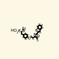 CCO[C@@H](Cc1ccc(OCCc2nc(-c3cc4ccccc4s3)oc2C)cc1)C(=O)O